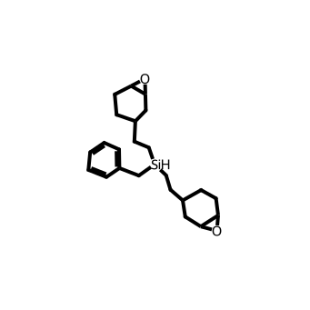 c1ccc(C[SiH](CCC2CCC3OC3C2)CCC2CCC3OC3C2)cc1